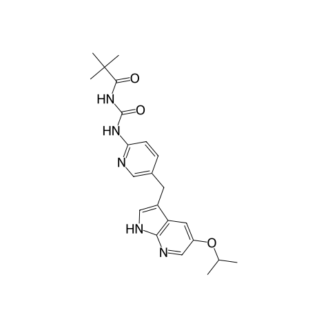 CC(C)Oc1cnc2[nH]cc(Cc3ccc(NC(=O)NC(=O)C(C)(C)C)nc3)c2c1